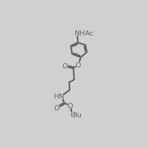 CC(=O)Nc1ccc(OC(=O)CCCNC(=O)OC(C)(C)C)cc1